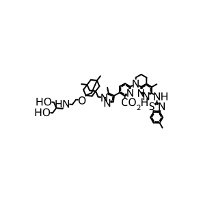 Cc1ccc2sc(Nc3nnc4c(c3C)CCCN4c3ccc(-c4cnn(CC56CC7(C)CC(C)(C5)CC(OCCNCC(CO)CO)(C7)C6)c4C)c(C(=O)O)n3)nc2c1